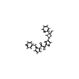 O=C(Nc1nc(C2CC(F)(c3ccccn3)C2)cs1)c1cccn1Cc1ccncc1